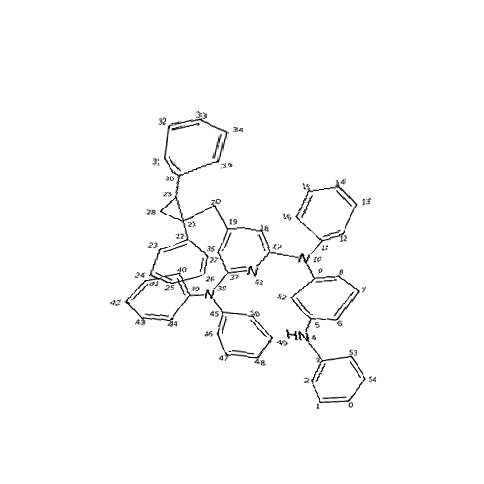 c1ccc(Nc2cccc(N(c3ccccc3)c3cc(CC4(c5ccccc5)CC4c4ccccc4)cc(N(c4ccccc4)c4ccccc4)n3)c2)cc1